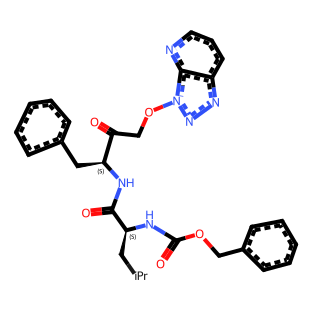 CC(C)C[C@H](NC(=O)OCc1ccccc1)C(=O)N[C@@H](Cc1ccccc1)C(=O)COn1nnc2cccnc21